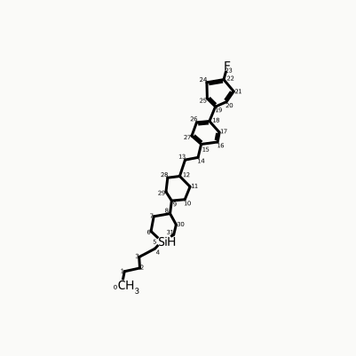 CCCCC[SiH]1CCC(C2CCC(CCc3ccc(-c4ccc(F)cc4)cc3)CC2)CC1